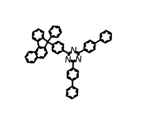 c1ccc(-c2ccc(-c3nc(-c4ccc(-c5ccccc5)cc4)nc(-c4ccc(C5(c6ccccc6)c6ccccc6-c6c5ccc5ccccc65)cc4)n3)cc2)cc1